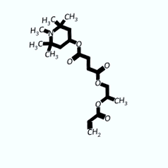 C=CC(=O)OC(C)COC(=O)CCC(=O)OC1CC(C)(C)N(C)C(C)(C)C1